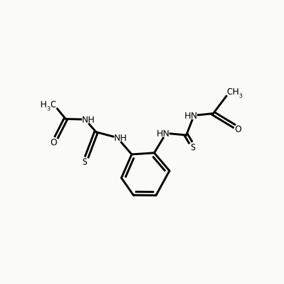 CC(=O)NC(=S)Nc1ccccc1NC(=S)NC(C)=O